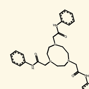 O=C(CN1CCN(CC(=O)Nc2ccccc2)CCN(CC(=O)Nc2ccccc2)CC1)Nc1ccccc1